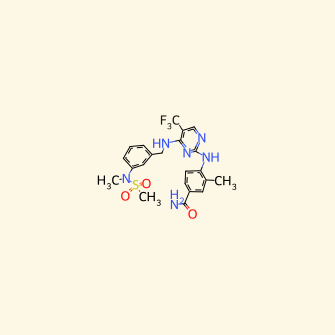 Cc1cc(C(N)=O)ccc1Nc1ncc(C(F)(F)F)c(NCc2cccc(N(C)S(C)(=O)=O)c2)n1